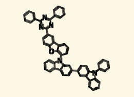 c1ccc(-c2nc(-c3ccccc3)nc(-c3ccc4oc5c(-n6c7ccccc7c7ccc(-c8ccc9c(c8)c8ccccc8n9-c8ccccc8)cc76)cccc5c4c3)n2)cc1